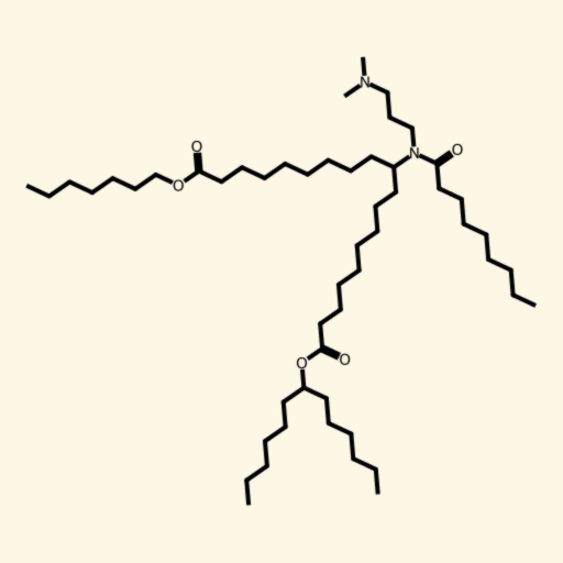 CCCCCCCCC(=O)N(CCCN(C)C)C(CCCCCCCCC(=O)OCCCCCCC)CCCCCCCCC(=O)OC(CCCCCC)CCCCCC